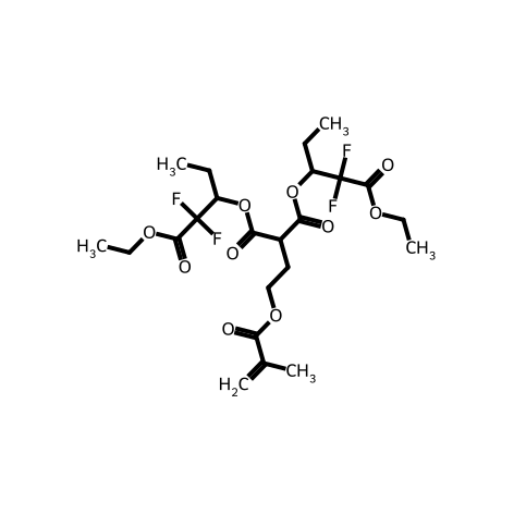 C=C(C)C(=O)OCCC(C(=O)OC(CC)C(F)(F)C(=O)OCC)C(=O)OC(CC)C(F)(F)C(=O)OCC